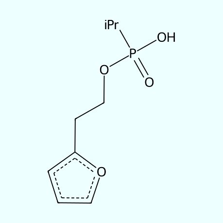 CC(C)P(=O)(O)OCCc1ccco1